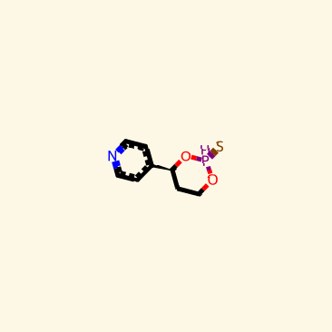 S=[PH]1OCC[C@@H](c2ccncc2)O1